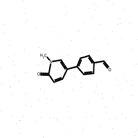 Cn1cc(-c2ccc(C=O)cc2)ccc1=O